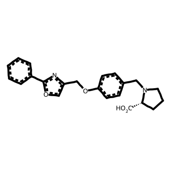 O=C(O)[C@H]1CCCN1Cc1ccc(OCc2coc(-c3ccccc3)n2)cc1